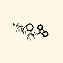 CC(C)C[C@@H](C(=O)O)N1CCCCC[C@H](N(C)C(=O)OCC2c3ccccc3-c3ccccc32)C1=O